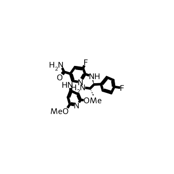 COc1cc(Nc2nc(N[C@H](c3ccc(F)cc3)[C@H](C)N)c(F)cc2C(N)=O)cc(OC)n1